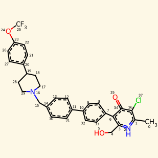 Cc1[nH]c(CO)c(-c2ccc(-c3ccc(CN4CCC(c5ccc(OC(F)(F)F)cc5)CC4)cc3)cc2)c(=O)c1Cl